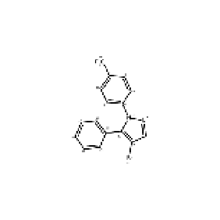 FC(F)(F)c1ccc(-n2ncc(Br)c2-c2ccccc2)cc1